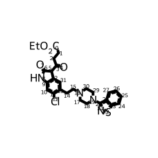 CCOC(=O)CCC(=O)C1C(=O)Nc2cc(Cl)c(CCN3CCN(c4nsc5ccccc45)CC3)cc21